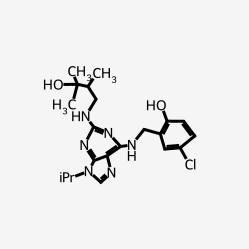 CC(C)n1cnc2c(NCc3cc(Cl)ccc3O)nc(NCC(C)C(C)(C)O)nc21